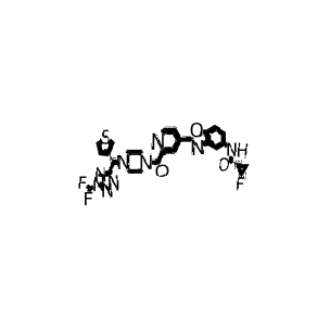 O=C(Nc1ccc2oc(-c3ccnc(C(=O)N4CCN([C@@H](c5ccsc5)c5nnn(C(F)F)n5)CC4)c3)nc2c1)[C@@H]1C[C@@H]1F